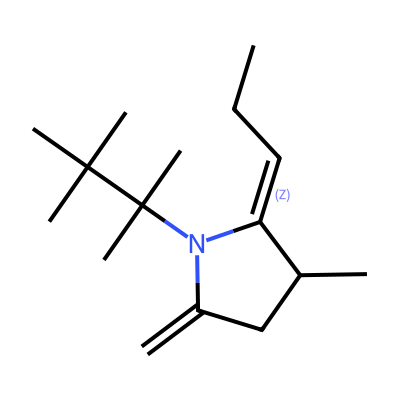 C=C1CC(C)/C(=C/CC)N1C(C)(C)C(C)(C)C